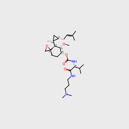 CO[C@@H]1[C@H](OC(=O)N[C@@H](C(=O)NCCCN(C)C)C(C)C)CC[C@]2(CO2)[C@H]1[C@@]1(C)C[C@@H]1CC=C(C)C